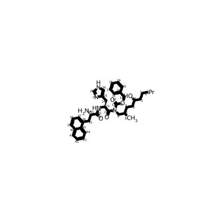 CC(C)CCC(O)CCC(C)CN(C(=O)OCc1ccccc1)C(=O)[C@H](Cc1c[nH]cn1)NC(=O)[C@@H](N)Cc1cccc2ccccc12